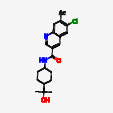 CC(=O)c1cc2ncc(C(=O)NC3CCC(C(C)(C)O)CC3)cc2cc1Cl